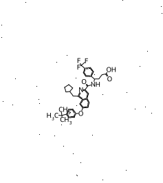 CC(C)(C)c1ccc(Oc2ccc3cc(C(=O)NC(CCC(=O)O)c4ccc(C(F)(F)F)cc4)nc(CC4CCCC4)c3c2)cc1